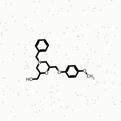 COc1ccc(OCC2CN(Cc3ccccc3)CC(CO)O2)cc1